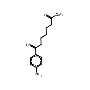 COC(=O)CCCCCC(=N)c1ccc(N)cc1